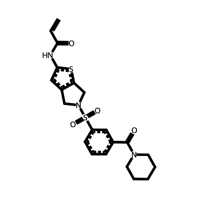 C=CC(=O)Nc1cc2c(s1)CN(S(=O)(=O)c1cccc(C(=O)N3CCCCC3)c1)C2